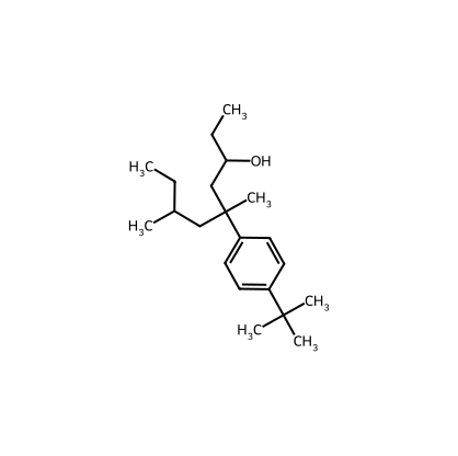 CCC(C)CC(C)(CC(O)CC)c1ccc(C(C)(C)C)cc1